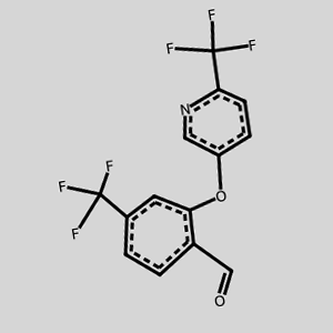 O=Cc1ccc(C(F)(F)F)cc1Oc1ccc(C(F)(F)F)nc1